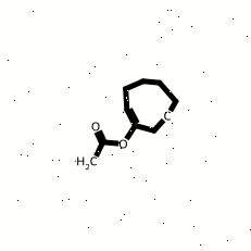 [CH2]C(=O)OC1=CCCCCCC1